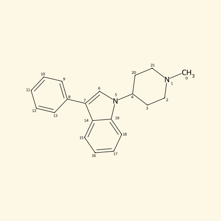 CN1CCC(n2cc(-c3ccccc3)c3ccccc32)CC1